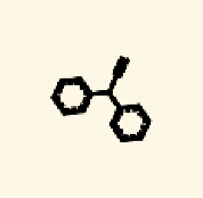 [C]#CC(c1ccccc1)c1ccccc1